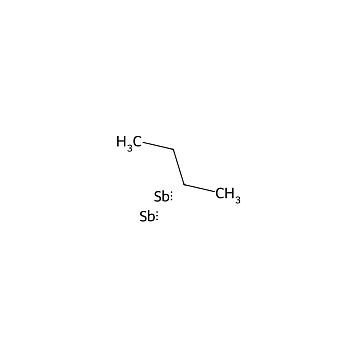 CCCC.[Sb].[Sb]